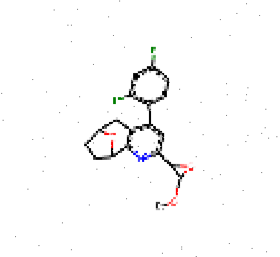 CCOC1OC1c1cc(-c2ccc(F)cc2F)c2c(n1)C1CCC(C2)O1